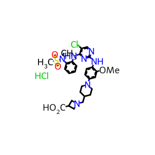 COc1cc(N2CCC(CN3CC(C(=O)O)C3)CC2)ccc1Nc1ncc(Cl)c(Nc2ccccc2N(C)S(C)(=O)=O)n1.Cl